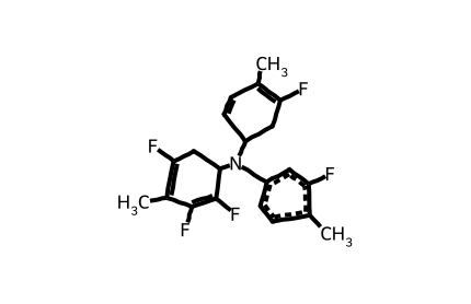 CC1=C(F)CC(N(c2ccc(C)c(F)c2)C2CC(F)=C(C)C(F)=C2F)C=C1